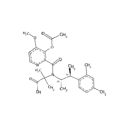 COc1ccnc(C(=O)N([C@@H](C)[C@@H](C)c2ccc(C)cc2C)C(C)(C)C(=O)O)c1OC(C)=O